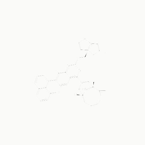 C[C@]1(O)SCCC[C@@H]2CN(c3nc(OC[C@@]45CCCN4C[C@H](F)C5)nc4c(F)c(-c5cccc6cccc(Cl)c56)ncc34)C[C@H]1N2